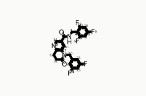 O=C(NCc1c(F)cc(F)cc1F)c1cnc2c(c1)N(Cc1cc(F)cc(F)c1)C(=O)CC2